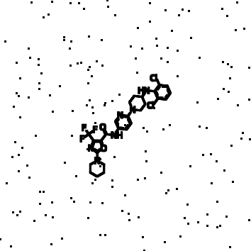 O=C(Nc1ccc(N2CCC(Nc3c(Cl)cccc3Cl)CC2)nc1)c1oc(N2CCCCC2)nc1C(F)(F)F